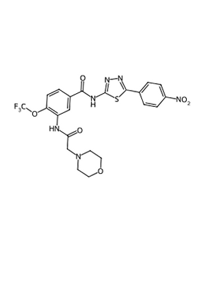 O=C(CN1CCOCC1)Nc1cc(C(=O)Nc2nnc(-c3ccc([N+](=O)[O-])cc3)s2)ccc1OC(F)(F)F